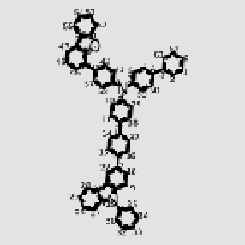 c1ccc(-c2ccc(N(c3ccc(-c4ccc(-c5ccc6c(c5)c5ccccc5n6-c5ccccc5)cc4)cc3)c3ccc(-c4cccc5c4oc4ccccc45)cc3)cc2)cc1